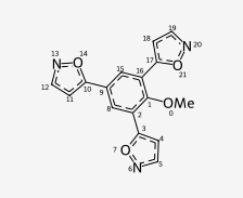 COc1c(-c2ccno2)cc(-c2ccno2)cc1-c1ccno1